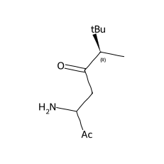 CC(=O)C(N)CC(=O)[C@H](C)C(C)(C)C